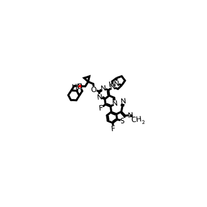 C=Nc1sc2c(F)ccc(-c3ncc4c(N5CC6CCC(C5)N6)nc(OCC5(CNC6C7CCCC6COC7)CC5)nc4c3F)c2c1C#N